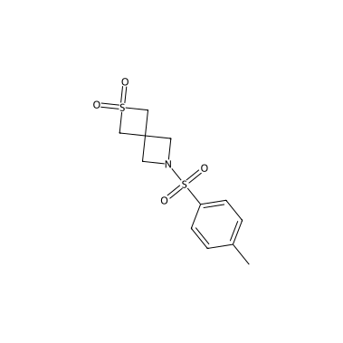 Cc1ccc(S(=O)(=O)N2CC3(C2)CS(=O)(=O)C3)cc1